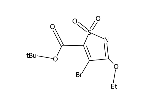 CCOC1=NS(=O)(=O)C(C(=O)OC(C)(C)C)=C1Br